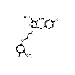 CNc1nc(OCCOc2ccc(Cl)c(C(F)(F)F)c2)n(Cc2ccc(Cl)cc2)c1O